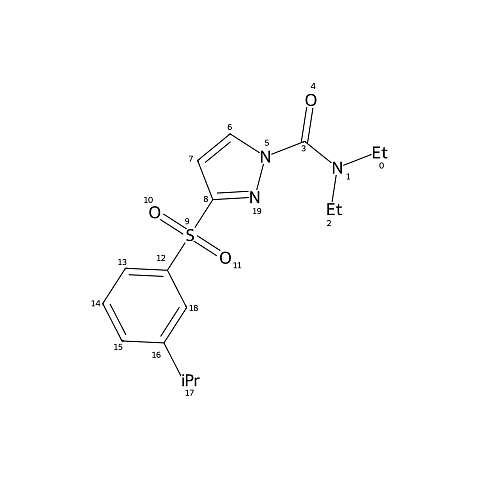 CCN(CC)C(=O)n1ccc(S(=O)(=O)c2cccc(C(C)C)c2)n1